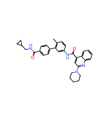 Cc1ccc(NC(=O)c2cc(N3CCCCC3)nc3ccccc23)cc1-c1ccc(C(=O)NCC2CC2)cc1